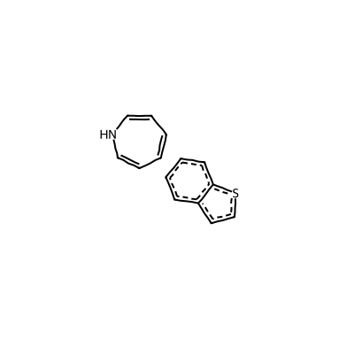 C1=CC=CNC=C1.c1ccc2sccc2c1